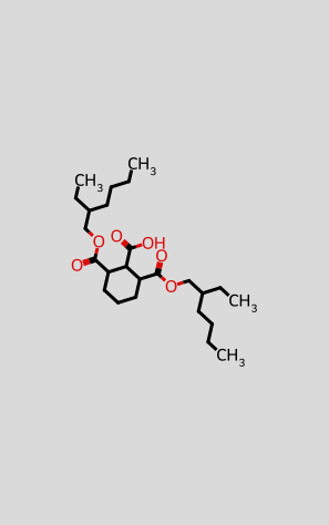 CCCCC(CC)COC(=O)C1CCCC(C(=O)OCC(CC)CCCC)C1C(=O)O